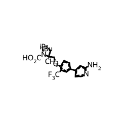 CC(C)C[C@@](C)(COc1ccc(-c2ccnc(N)c2)cc1C(F)(F)F)N(C(=O)O)C(C)(C)C